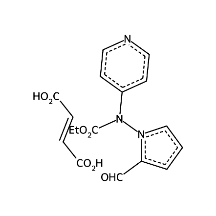 CCOC(=O)N(c1ccncc1)n1cccc1C=O.O=C(O)C=CC(=O)O